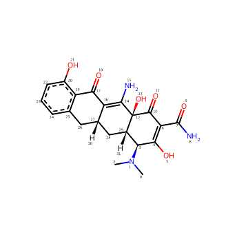 CN(C)[C@@H]1C(O)=C(C(N)=O)C(=O)[C@@]2(O)C(N)=C3C(=O)c4c(O)cccc4C[C@H]3C[C@@H]12